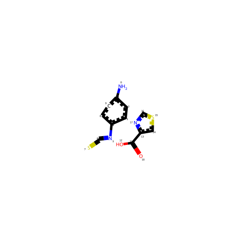 Nc1ccc(N=C=S)cc1.O=C(O)c1cscn1